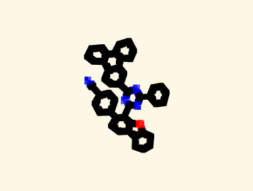 N#Cc1ccc(-c2ccc3c(oc4ccccc43)c2-c2nc(-c3ccccc3)nc(-c3ccc4c5ccccc5c5ccccc5c4c3)n2)cc1